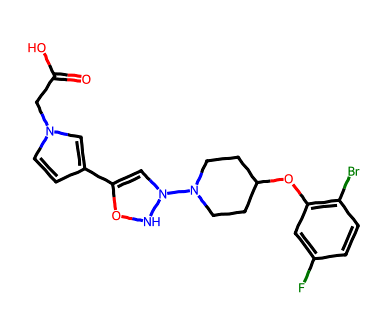 O=C(O)Cn1ccc(C2=CN(N3CCC(Oc4cc(F)ccc4Br)CC3)NO2)c1